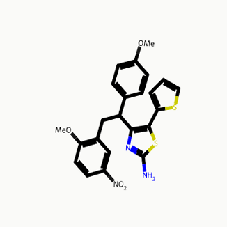 COc1ccc(C(Cc2cc([N+](=O)[O-])ccc2OC)c2nc(N)sc2-c2cccs2)cc1